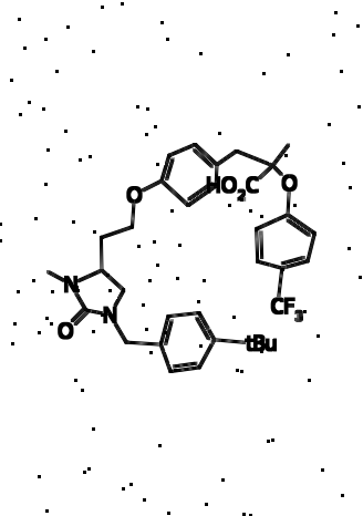 CN1C(=O)N(Cc2ccc(C(C)(C)C)cc2)CC1CCOc1ccc(CC(C)(Oc2ccc(C(F)(F)F)cc2)C(=O)O)cc1